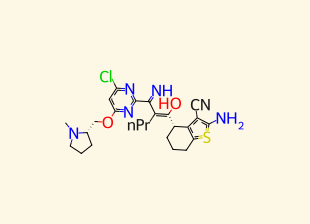 CCC/C(C(=N)c1nc(Cl)cc(OC[C@@H]2CCCN2C)n1)=C(/O)[C@H]1CCCc2sc(N)c(C#N)c21